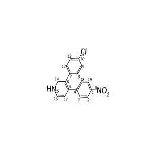 O=[N+]([O-])c1ccc(C2=C(c3ccc(Cl)cc3)CNC=C2)cc1